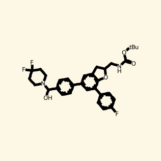 CC(C)(C)OC(=O)NCC1Cc2cc(-c3ccc(C(O)N4CCC(F)(F)CC4)cc3)cc(-c3ccc(F)cc3)c2O1